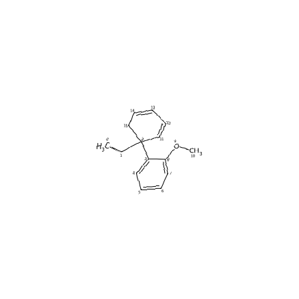 CCC1(c2ccccc2OC)C=CC=CC1